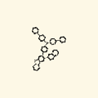 C1=CC2Oc3cc(-c4ccc(N(c5ccc(-c6ccccc6)cc5)c5ccc(-c6ccccc6)cc5)cc4)c(-c4ccc5ccccc5c4)cc3C2C=C1